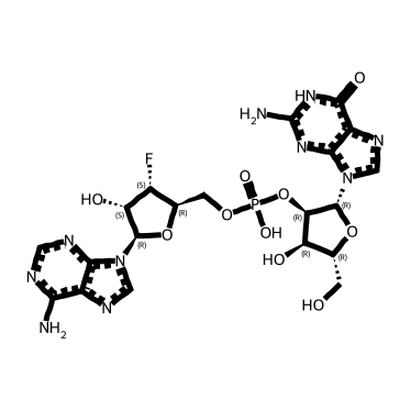 Nc1nc2c(ncn2[C@@H]2O[C@H](CO)[C@@H](O)[C@H]2OP(=O)(O)OC[C@H]2O[C@@H](n3cnc4c(N)ncnc43)[C@H](O)[C@@H]2F)c(=O)[nH]1